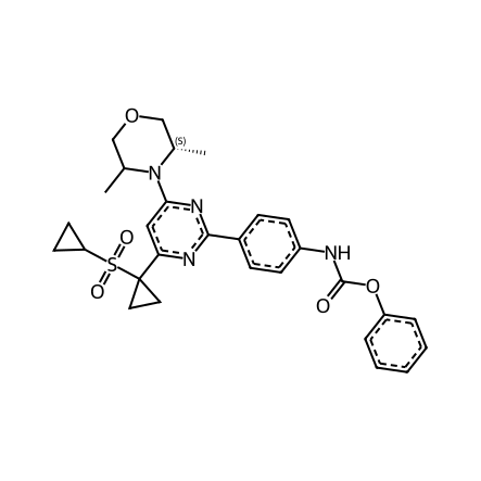 CC1COC[C@H](C)N1c1cc(C2(S(=O)(=O)C3CC3)CC2)nc(-c2ccc(NC(=O)Oc3ccccc3)cc2)n1